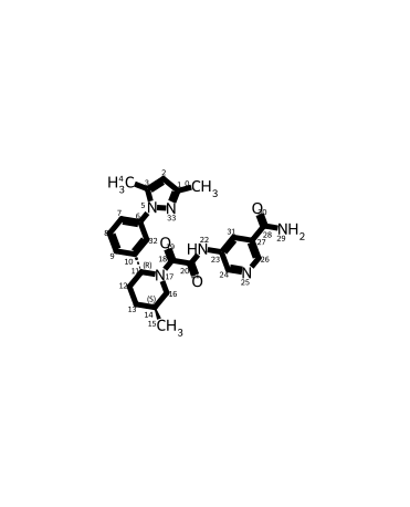 Cc1cc(C)n(-c2cccc([C@H]3CC[C@H](C)CN3C(=O)C(=O)Nc3cncc(C(N)=O)c3)c2)n1